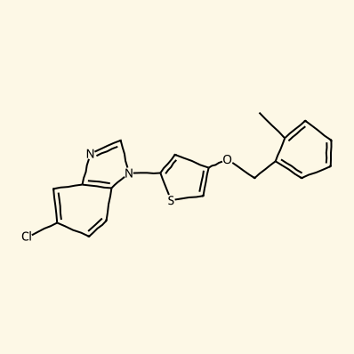 Cc1ccccc1COc1csc(-n2cnc3cc(Cl)ccc32)c1